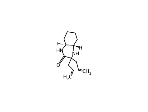 C=CCC1(CC=C)N[C@H]2CCCC[C@@H]2NC1=O